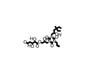 C=CCn1c(=O)n(CC(O)COC(=O)C(O)C(O)CC=O)c(=O)n(CC(O)CC(C)(CC)CC)c1=O